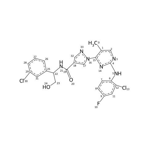 Cc1cnc(Nc2ccc(F)cc2Cl)nc1-n1cc(C(=O)NC(CO)c2cccc(Cl)c2)cn1